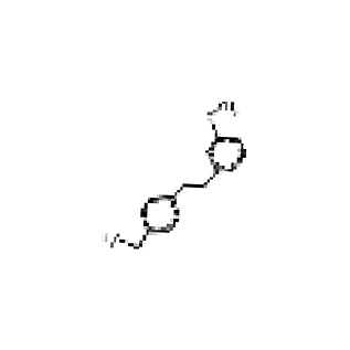 CCc1ccc([CH]Cc2cccc(OC)c2)cc1